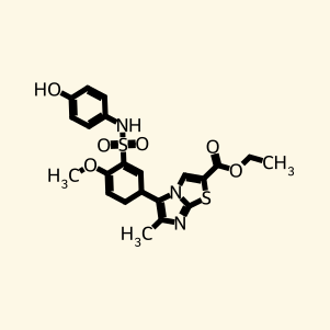 CCOC(=O)c1cn2c(C3C=C(S(=O)(=O)Nc4ccc(O)cc4)C(OC)=CC3)c(C)nc2s1